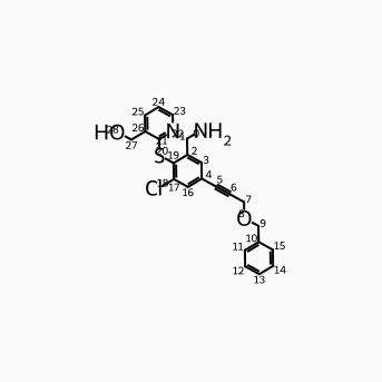 NCc1cc(C#CCOCc2ccccc2)cc(Cl)c1Sc1ncccc1CO